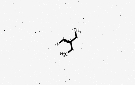 CCC(=[C]F)CC